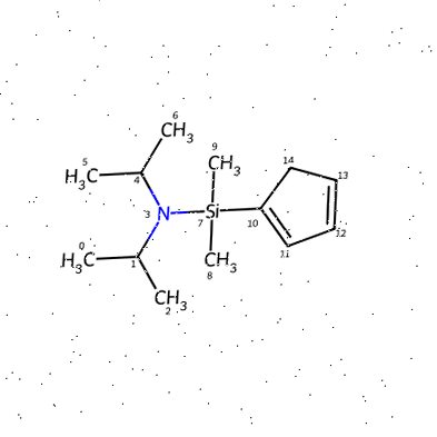 CC(C)N(C(C)C)[Si](C)(C)C1=CC=CC1